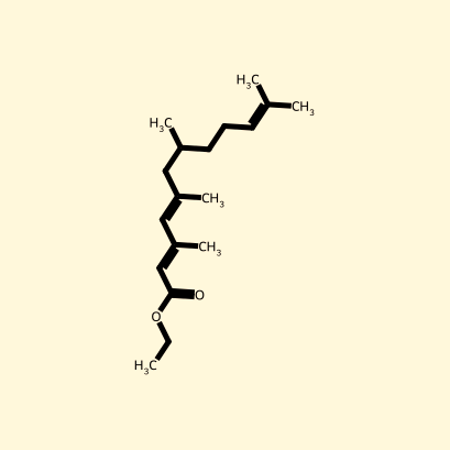 CCOC(=O)/C=C(C)/C=C(\C)CC(C)CCC=C(C)C